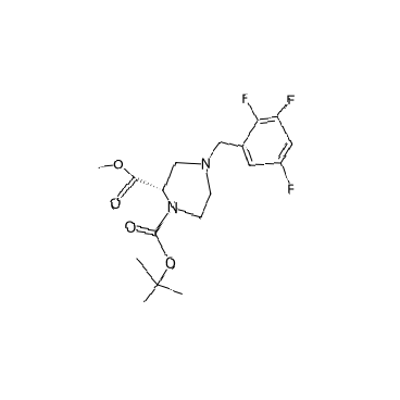 COC(=O)[C@@H]1CN(Cc2cc(F)cc(F)c2F)CCN1C(=O)OC(C)(C)C